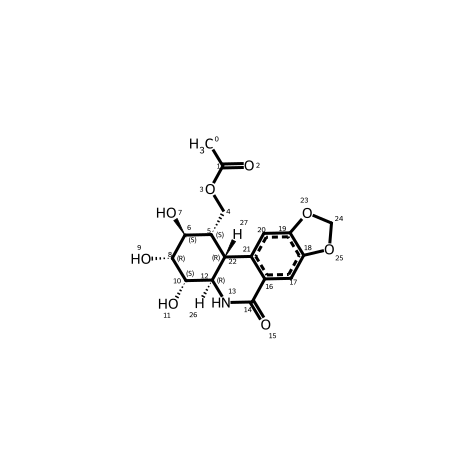 CC(=O)OC[C@H]1[C@H](O)[C@@H](O)[C@@H](O)[C@@H]2NC(=O)c3cc4c(cc3[C@@H]12)OCO4